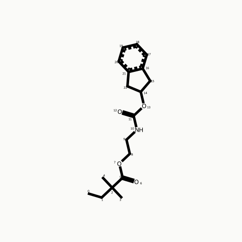 CCC(C)(C)C(=O)OCCNC(=O)OC1Cc2ccccc2C1